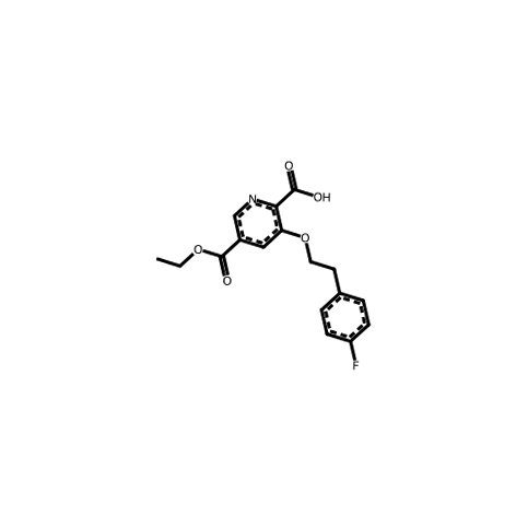 CCOC(=O)c1cnc(C(=O)O)c(OCCc2ccc(F)cc2)c1